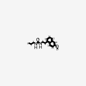 CCCNC(=O)NCCc1cccc2cc(OC)ccc12